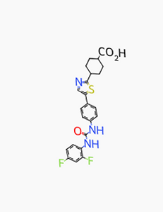 O=C(Nc1ccc(-c2cnc(C3CCC(C(=O)O)CC3)s2)cc1)Nc1ccc(F)cc1F